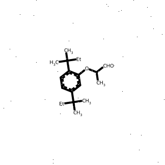 CCC(C)(C)c1ccc(C(C)(C)CC)c(OC(C)[C]=O)c1